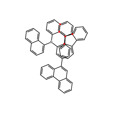 c1ccc(-c2ccc(-c3cc4ccccc4c4ccccc34)cc2N(c2ccccc2-n2c3ccccc3c3ccccc32)c2cccc3ccccc23)cc1